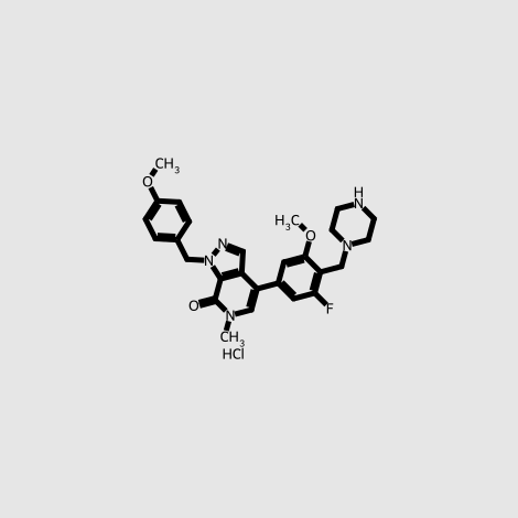 COc1ccc(Cn2ncc3c(-c4cc(F)c(CN5CCNCC5)c(OC)c4)cn(C)c(=O)c32)cc1.Cl